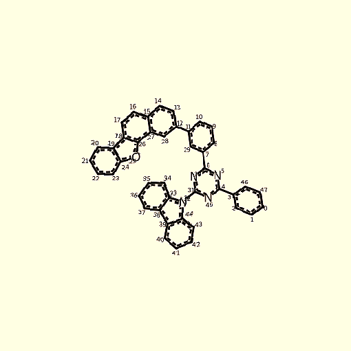 c1ccc(-c2nc(-c3cccc(-c4ccc5ccc6c7ccccc7oc6c5c4)c3)nc(-n3c4ccccc4c4ccccc43)n2)cc1